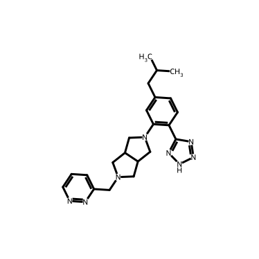 CC(C)Cc1ccc(-c2nn[nH]n2)c(N2CC3CN(Cc4cccnn4)CC3C2)c1